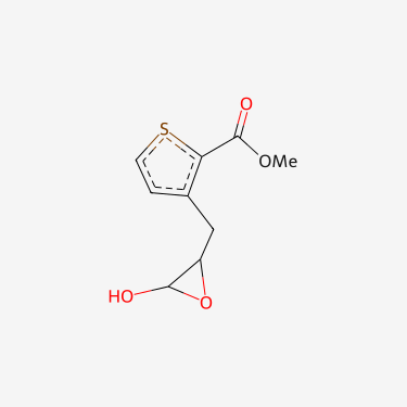 COC(=O)c1sccc1CC1OC1O